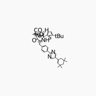 C[C@@H](NC(=O)[C@H](Cc1ccc(-c2ncc(C3=CC(C)(C)CC(C)(C)C3)cn2)cc1)NC(O)c1ccc(C(C)(C)C)s1)C(=O)O